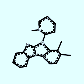 Cc1ccc2c(c1C)n(-c1cccc[n+]1C)c1nc3ccccc3n21